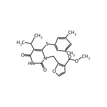 COC(=O)c1ccoc1Cn1c(Sc2cc(C)cc(C)c2)c(C(C)C)c(=O)[nH]c1=O